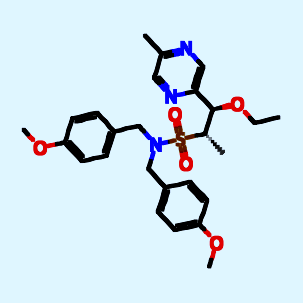 CCO[C@H](c1cnc(C)cn1)[C@H](C)S(=O)(=O)N(Cc1ccc(OC)cc1)Cc1ccc(OC)cc1